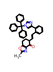 Cc1nc2c(o1)CCC(/C=C/c1ccccc1-c1cn(C(c3ccccc3)(c3ccccc3)c3ccccc3)cn1)C2=O